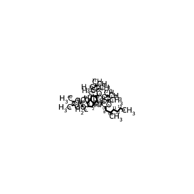 C=C1C[C@@H]2[C@@H](CC[C@@H](C[C@@H](C)CCCC)O[Si](C)(C)C(C)(C)C)[C@H](O[Si](C)(C)C(C)(C)C)C[C@@H]2C1OP(=O)(OCC)OCC